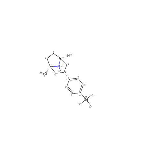 CO[C@@]12CC[C@@H](C[C@H](c3cc[c]([Sn]([CH3])([CH3])[CH3])cc3)C1)N2C